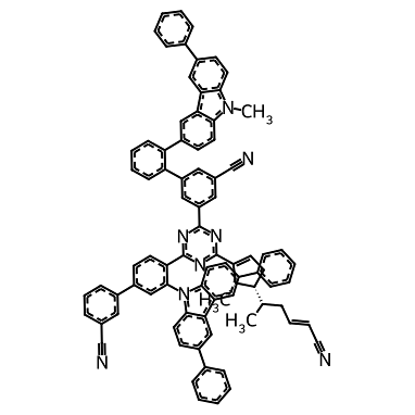 CC(C/C=C/C#N)[C@H]1CC=C(c2nc(-c3cc(C#N)cc(-c4ccccc4-c4ccc5c(c4)c4cc(-c6ccccc6)ccc4n5C)c3)nc(-c3ccc(-c4cccc(C#N)c4)cc3-n3c4ccc(-c5ccccc5)cc4c4cc(-c5ccccc5)ccc43)n2)[C@H]1C